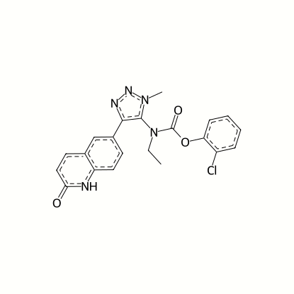 CCN(C(=O)Oc1ccccc1Cl)c1c(-c2ccc3[nH]c(=O)ccc3c2)nnn1C